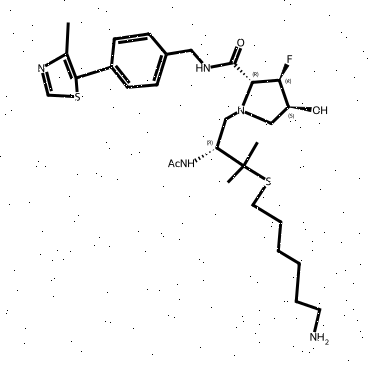 CC(=O)N[C@H](CN1C[C@H](O)[C@H](F)[C@H]1C(=O)NCc1ccc(-c2scnc2C)cc1)C(C)(C)SCCCCCCN